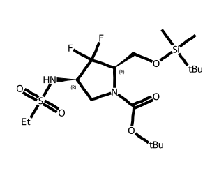 CCS(=O)(=O)N[C@@H]1CN(C(=O)OC(C)(C)C)[C@H](CO[Si](C)(C)C(C)(C)C)C1(F)F